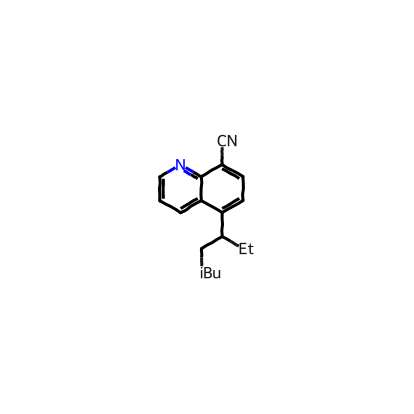 CCC(C)CC(CC)c1ccc(C#N)c2ncccc12